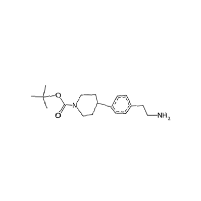 CC(C)(C)OC(=O)N1CCC(c2ccc(CCN)cc2)CC1